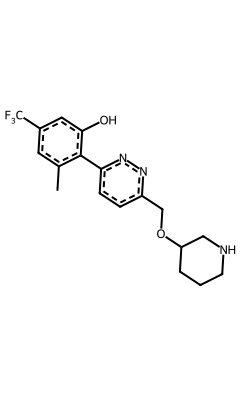 Cc1cc(C(F)(F)F)cc(O)c1-c1ccc(COC2CCCNC2)nn1